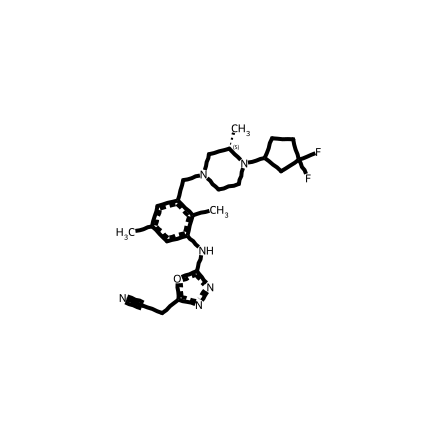 Cc1cc(CN2CCN(C3CCC(F)(F)C3)[C@@H](C)C2)c(C)c(Nc2nnc(CC#N)o2)c1